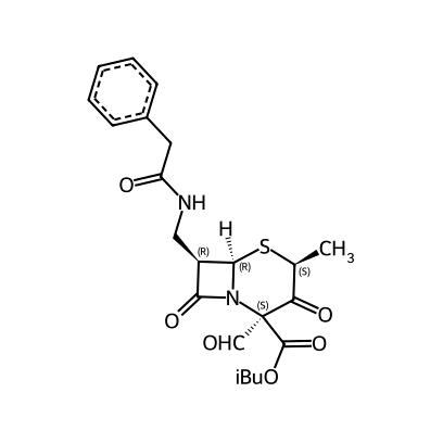 CC(C)COC(=O)[C@]1(C=O)C(=O)[C@H](C)S[C@@H]2[C@H](CNC(=O)Cc3ccccc3)C(=O)N21